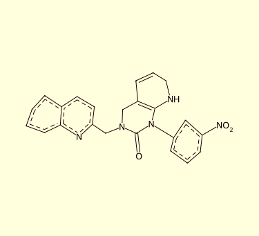 O=C1N(Cc2ccc3ccccc3n2)CC2=C(NCC=C2)N1c1cccc([N+](=O)[O-])c1